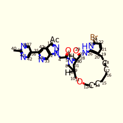 CC(=O)c1nn(CC(=O)N2C[C@H]3COCCCCCCCCc4ccc(Br)nc4NC(=O)[C@@H]2C3)c2cnc(-c3cnc(C)nc3)cc12